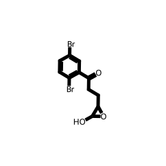 O=C(CCC1OC1O)c1cc(Br)ccc1Br